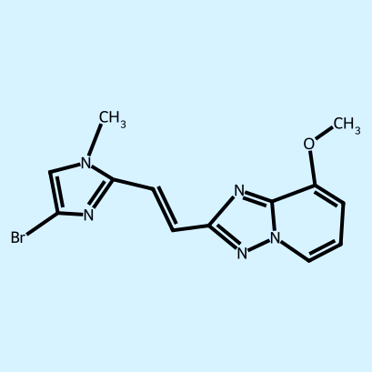 COc1cccn2nc(C=Cc3nc(Br)cn3C)nc12